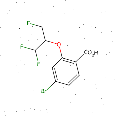 O=C(O)c1ccc(Br)cc1OC(CF)C(F)F